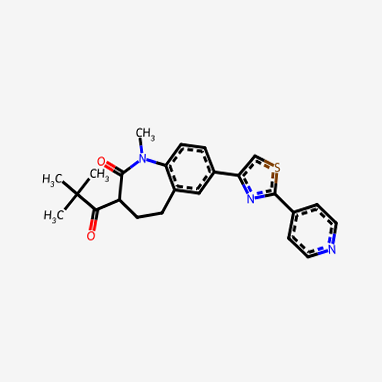 CN1C(=O)C(C(=O)C(C)(C)C)CCc2cc(-c3csc(-c4ccncc4)n3)ccc21